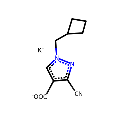 N#Cc1nn(CC2CCC2)cc1C(=O)[O-].[K+]